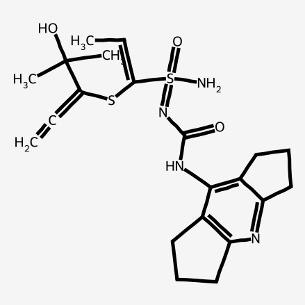 C=C=C(S/C(=C\C)S(N)(=O)=NC(=O)Nc1c2c(nc3c1CCC3)CCC2)C(C)(C)O